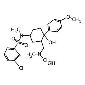 COc1ccc(C2(O)CCC(N(C)S(=O)(=O)c3cccc(Cl)c3)CC2CN(C)C)cc1.Cl